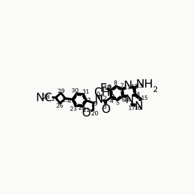 CN(C(=O)c1cc2c(cc1F)nc(N)c1cncn12)[C@@H]1COc2cc(C3CC(C#N)C3)ccc21